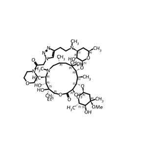 CC[C@H]1OC(=O)[C@H](C)[C@@H](O[C@H]2C[C@@](C)(OC)[C@@H](O)[C@H](C)O2)[C@H](C)[C@@H](O[C@@H]2O[C@H](C)C[C@H](N(C)CCc3cn(CC(=O)N4CCOCC4)nn3)[C@H]2O)[C@](C)(O)C[C@@H](C)CN(C)[C@H](C)[C@@H](O)[C@]1(C)O